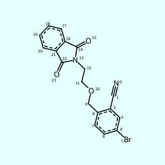 N#Cc1cc(Br)ccc1COCCN1C(=O)c2ccccc2C1=O